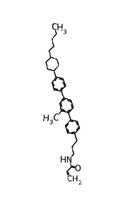 C=CC(=O)NCCCc1ccc(-c2ccc(-c3ccc(C4CCC(CCCCC)CC4)cc3)cc2C)cc1